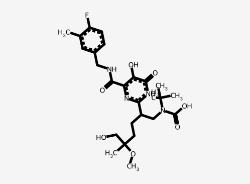 COC(C)(CO)CCC(CN(C(=O)O)C(C)(C)C)c1nc(C(=O)NCc2ccc(F)c(C)c2)c(O)c(=O)[nH]1